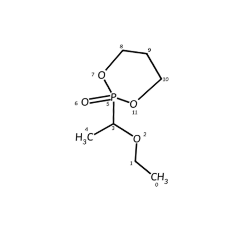 CCOC(C)P1(=O)OCCCO1